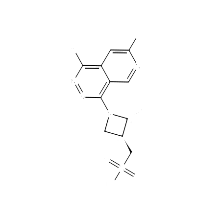 CC(C)c1nnc(N2C[C@H](CS(C)(=O)=O)[C@H]2C)c2cnc(Cl)cc12